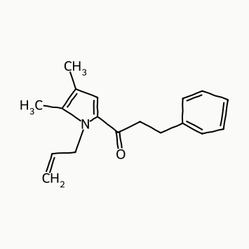 C=CCn1c(C(=O)CCc2ccccc2)cc(C)c1C